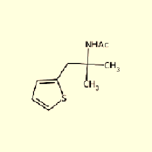 CC(=O)NC(C)(C)Cc1cccs1